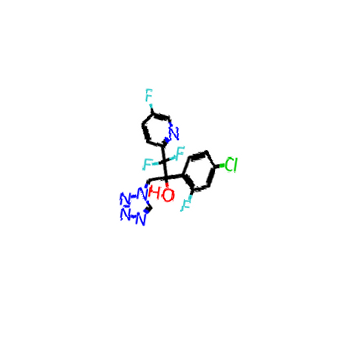 OC(Cn1cnnn1)(c1ccc(Cl)cc1F)C(F)(F)c1ccc(F)cn1